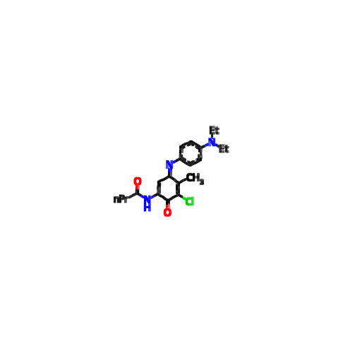 CCCC(=O)NC1=CC(=Nc2ccc(N(CC)CC)cc2)C(C)=C(Cl)C1=O